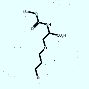 CC(C)(C)OC(=O)NC(COCCCBr)C(=O)O